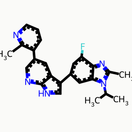 Cc1ncccc1-c1cnc2[nH]cc(-c3cc(F)c4nc(C)n(C(C)C)c4c3)c2c1